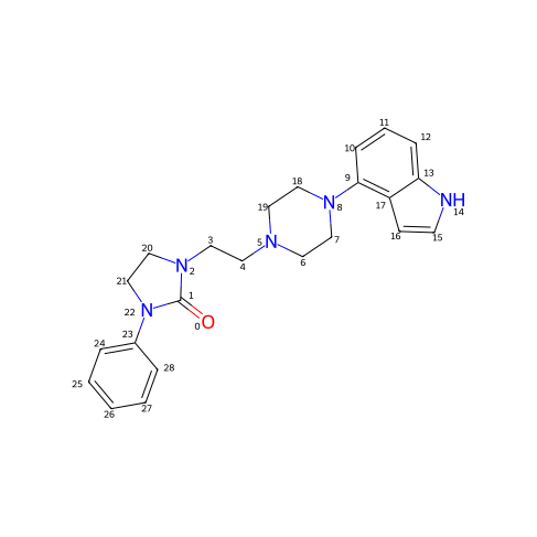 O=C1N(CCN2CCN(c3cccc4[nH]ccc34)CC2)CCN1c1ccccc1